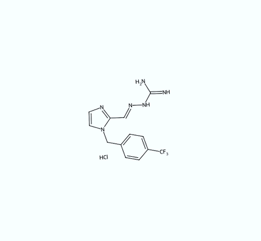 Cl.N=C(N)NN=Cc1nccn1Cc1ccc(C(F)(F)F)cc1